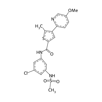 COc1ccc(-c2cc(C(=O)Nc3cc(Cl)cc(NS(C)(=O)=O)c3)sc2C)nc1